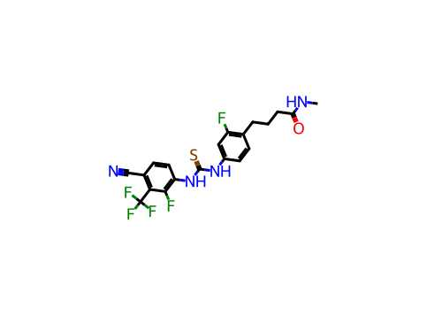 CNC(=O)CCCc1ccc(NC(=S)Nc2ccc(C#N)c(C(F)(F)F)c2F)cc1F